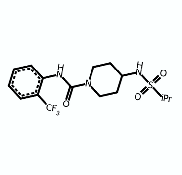 CC(C)S(=O)(=O)NC1CCN(C(=O)Nc2ccccc2C(F)(F)F)CC1